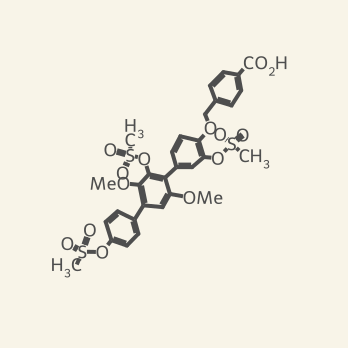 COc1cc(-c2ccc(OS(C)(=O)=O)cc2)c(OC)c(OS(C)(=O)=O)c1-c1ccc(OCc2ccc(C(=O)O)cc2)c(OS(C)(=O)=O)c1